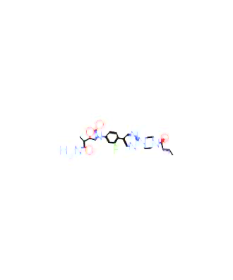 C/C=C/C(=O)N1CCN(c2ncc(-c3ccc(N4CC(C(C)C(N)=O)OC4=O)cc3F)cn2)CC1